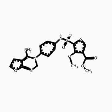 COC(=O)c1csc(S(=O)(=O)Nc2ccc(N3CN=c4occc4=C3N)cc2)c1OC